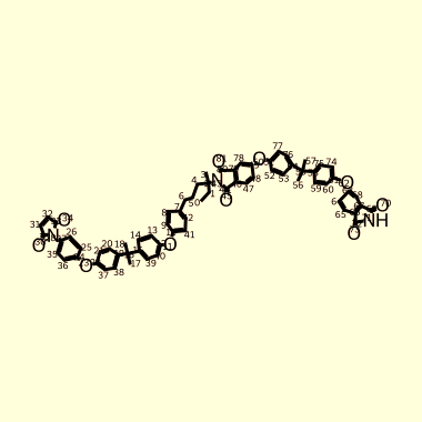 CCC(C)(CCCc1ccc(Oc2ccc(C(C)(C)c3ccc(Oc4ccc(N5C(=O)C=CC5=O)cc4)cc3)cc2)cc1)N1C(=O)c2ccc(Oc3ccc(C(C)(C)c4ccc(Oc5ccc6c(c5)C(=O)NC6=O)cc4)cc3)cc2C1=O